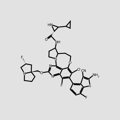 N#Cc1c(N)sc2c(F)ccc(-c3c(Cl)c4c5c(nc(OC[C@@]67CCCN6C[C@H](F)C7)nc5c3F)N3CCC(NC(=O)[C@@H]5NC5C5CC5)C3CCO4)c12